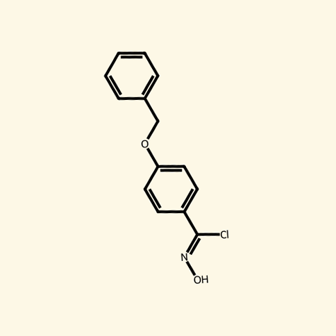 ON=C(Cl)c1ccc(OCc2ccccc2)cc1